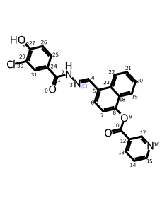 O=C(N/N=C/c1ccc(OC(=O)c2cccnc2)c2ccccc12)c1ccc(O)c(Cl)c1